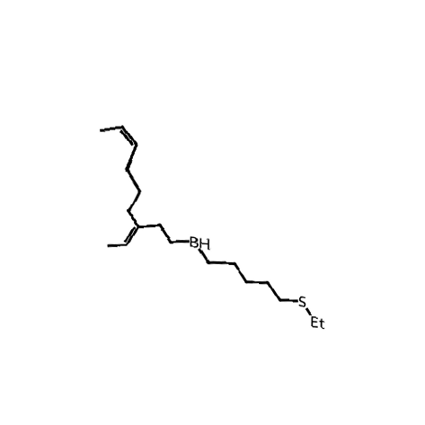 C/C=C\CCC/C(=C\C)CCBCCCCCSCC